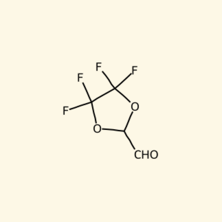 O=CC1OC(F)(F)C(F)(F)O1